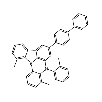 Cc1ccccc1N1c2cc(-c3ccc(-c4ccccc4)cc3)cc3c2B(c2cccc(C)c21)c1c(C)cccc1-3